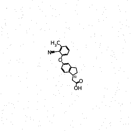 Cc1cccc(Oc2ccc3c(c2)CC[C@H]3CC(=O)O)c1C#N